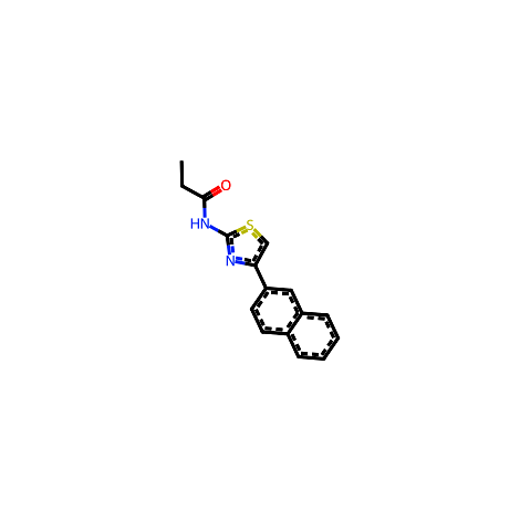 CCC(=O)Nc1nc(-c2ccc3ccccc3c2)cs1